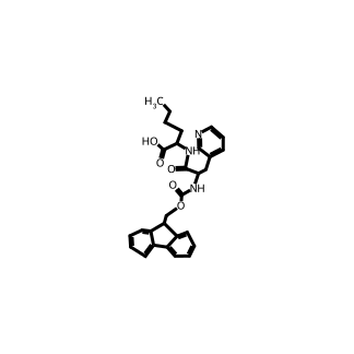 CCCCC(NC(=O)C(Cc1cccnc1)NC(=O)OCC1c2ccccc2-c2ccccc21)C(=O)O